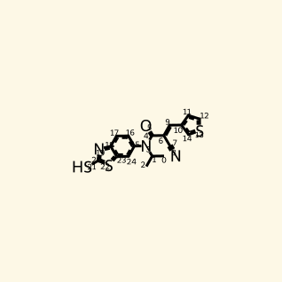 CC(C)N(C(=O)C(C#N)=Cc1ccsc1)c1ccc2nc(S)sc2c1